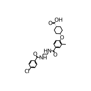 Cc1cc(C(=O)NCCNC(=O)c2ccc(Cl)cc2)ccc1O[C@H]1CC[C@@H](C(=O)O)CC1